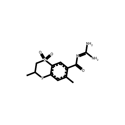 Cc1cc2c(cc1C(=O)N=C(N)N)S(=O)(=O)CC(C)S2